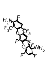 Nc1c(F)cc(F)c(Oc2c(F)cc(C(F)(F)F)c(Oc3c(F)cc(F)c(N)c3C(F)(F)F)c2F)c1C(F)(F)F